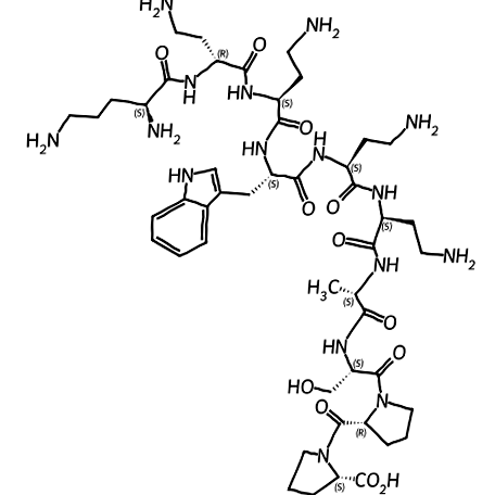 C[C@H](NC(=O)[C@H](CCN)NC(=O)[C@H](CCN)NC(=O)[C@H](Cc1c[nH]c2ccccc12)NC(=O)[C@H](CCN)NC(=O)[C@@H](CCN)NC(=O)[C@@H](N)CCCN)C(=O)N[C@@H](CO)C(=O)N1CCC[C@@H]1C(=O)N1CCC[C@H]1C(=O)O